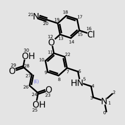 CN(C)CCNCc1cccc(Oc2cc(Cl)ccc2C#N)c1.O=C(O)/C=C/C(=O)O